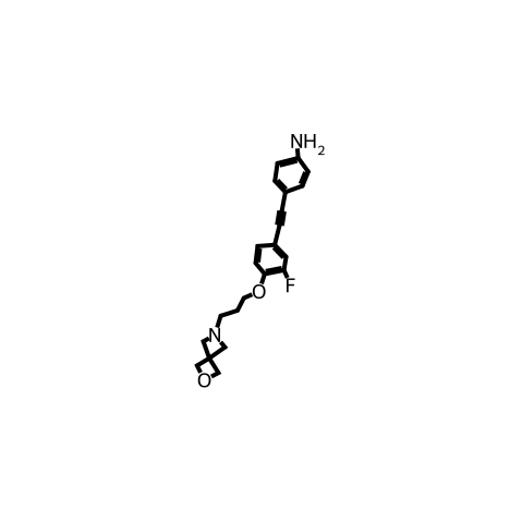 Nc1ccc(C#Cc2ccc(OCCCN3CC4(COC4)C3)c(F)c2)cc1